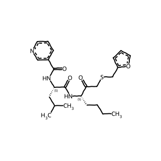 CCCC[C@H](NC(=O)[C@H](CC(C)C)NC(=O)c1cccnc1)C(=O)CSCc1ccco1